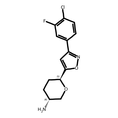 N[C@@H]1CC[C@@H](c2cc(-c3ccc(Cl)c(F)c3)no2)OC1